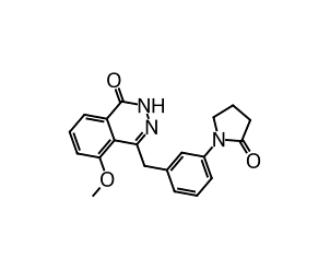 COc1cccc2c(=O)[nH]nc(Cc3cccc(N4CCCC4=O)c3)c12